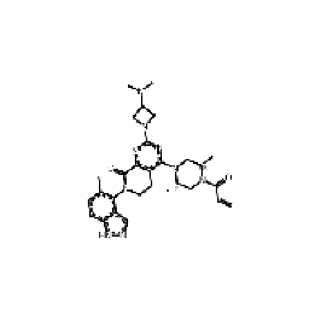 C=CC(=O)N1C[C@H](C)N(c2nc(N3CC(N(C)C)C3)nc3c2CCN(c2c(C)ccc4[nH]ncc24)C3=O)C[C@H]1C